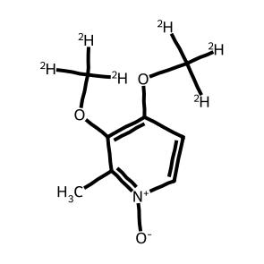 [2H]C([2H])([2H])Oc1cc[n+]([O-])c(C)c1OC([2H])([2H])[2H]